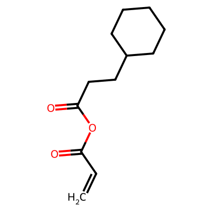 C=CC(=O)OC(=O)CCC1CCCCC1